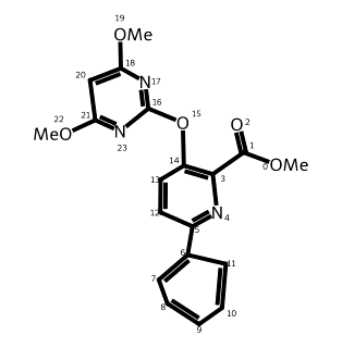 COC(=O)c1nc(-c2ccccc2)ccc1Oc1nc(OC)cc(OC)n1